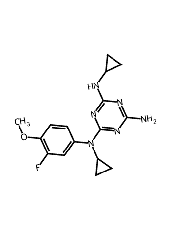 COc1ccc(N(c2nc(N)nc(NC3CC3)n2)C2CC2)cc1F